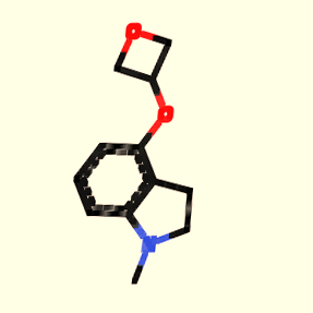 CN1CCc2c(OC3COC3)cccc21